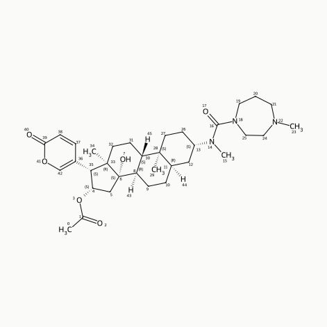 CC(=O)O[C@H]1C[C@]2(O)[C@@H]3CC[C@@H]4C[C@@H](N(C)C(=O)N5CCCN(C)CC5)CC[C@]4(C)[C@H]3CC[C@]2(C)[C@H]1c1ccc(=O)oc1